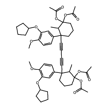 COc1ccc(C2(C#CC#CC3(c4ccc(OC)c(OC5CCCC5)c4)CCCC(OC(C)=O)(OC(C)=O)C3C)CCCC(OC(C)=O)(OC(C)=O)C2C)cc1OC1CCCC1